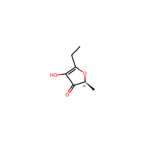 CCC1=C(O)C(=O)[C@H](C)O1